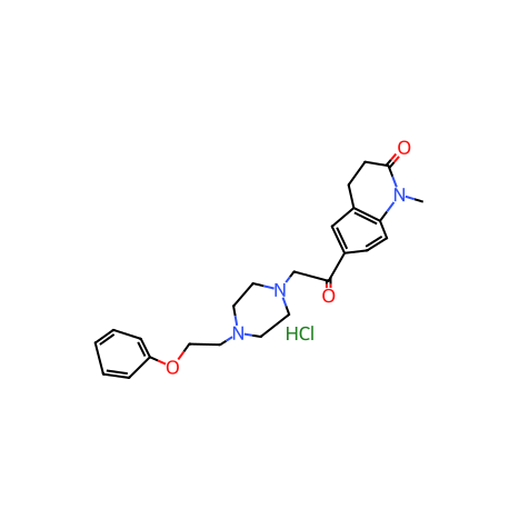 CN1C(=O)CCc2cc(C(=O)CN3CCN(CCOc4ccccc4)CC3)ccc21.Cl